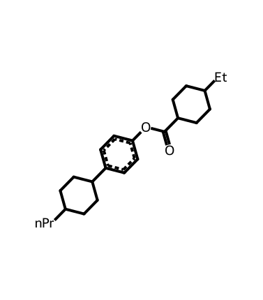 CCCC1CCC(c2ccc(OC(=O)C3CCC(CC)CC3)cc2)CC1